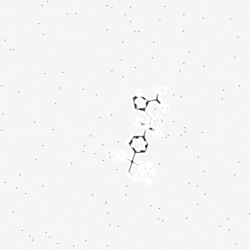 CCC(C)(C)c1ccc(S(=O)(=O)Nc2ccsc2C(=O)O)cc1